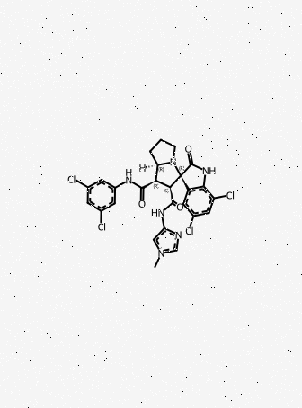 Cn1cnc(NC(=O)[C@H]2[C@@H](C(=O)Nc3cc(Cl)cc(Cl)c3)[C@H]3CCCN3[C@]23C(=O)Nc2c(Cl)cc(Cl)cc23)c1